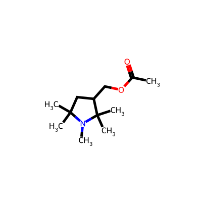 CC(=O)OCC1CC(C)(C)N(C)C1(C)C